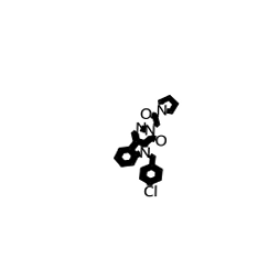 O=C(Cn1ncc2c3ccccc3n(Cc3ccc(Cl)cc3)c2c1=O)N1CCCC1